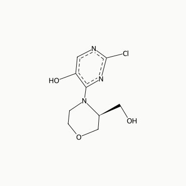 OC[C@H]1COCCN1c1nc(Cl)ncc1O